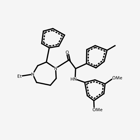 CCN1CCCN(C(=O)C(Nc2cc(OC)cc(OC)c2)c2ccc(C)cc2)C(c2ccccc2)C1